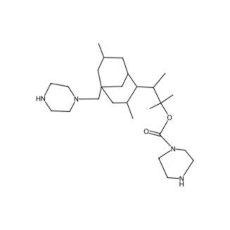 CC1CC2CC(CN3CCNCC3)(C1)CC(C)C2C(C)C(C)(C)OC(=O)N1CCNCC1